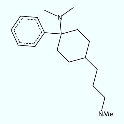 CNCCCC1CCC(c2ccccc2)(N(C)C)CC1